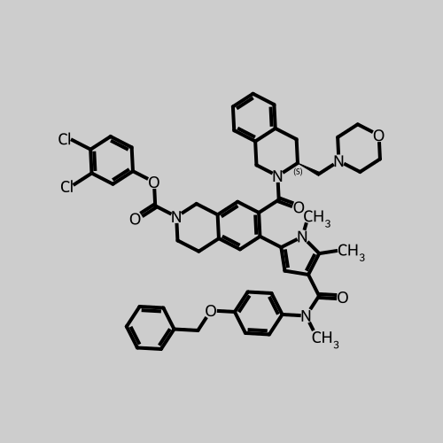 Cc1c(C(=O)N(C)c2ccc(OCc3ccccc3)cc2)cc(-c2cc3c(cc2C(=O)N2Cc4ccccc4C[C@H]2CN2CCOCC2)CN(C(=O)Oc2ccc(Cl)c(Cl)c2)CC3)n1C